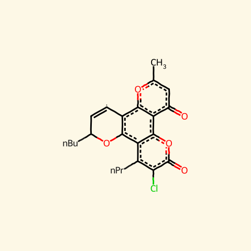 CCCCC1C=[C]c2c(c3c(CCC)c(Cl)c(=O)oc3c3c(=O)cc(C)oc23)O1